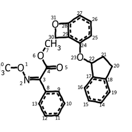 CON=C(C(=O)OC)c1ccccc1.c1ccc2c(c1)CCC2Oc1cccc2c1CO2